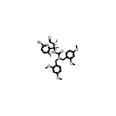 COc1ccc(CN(Cc2ccc(OC)cc2OC)C(=O)N[C@](C)(c2nc(Br)ccc2F)[C@@H](F)C=O)c(OC)c1